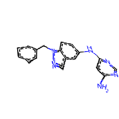 Nc1cc(Nc2ccc3c(cnn3Cc3ccccc3)c2)ncn1